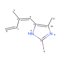 C=C/C(C)=C\c1[nH]c(I)nc1C